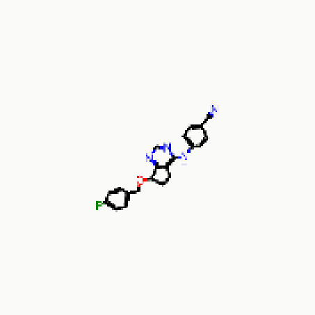 N#Cc1ccc(Nc2ncnc3c2CCC3OCc2ccc(F)cc2)cc1